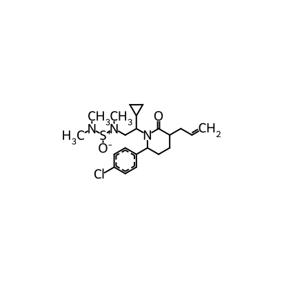 C=CCC1CCC(c2ccc(Cl)cc2)N(C(CN(C)[S+]([O-])N(C)C)C2CC2)C1=O